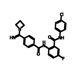 N=C(c1ccc(C(=O)Nc2ccc(F)cc2C(=O)Nc2ccc(Cl)cc2)cc1)N1CCC1